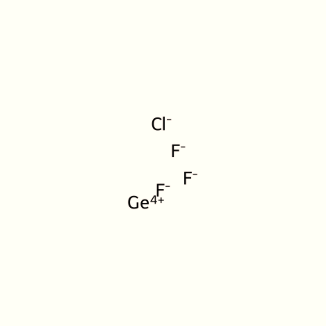 [Cl-].[F-].[F-].[F-].[Ge+4]